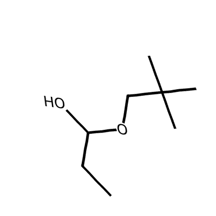 CCC(O)OCC(C)(C)C